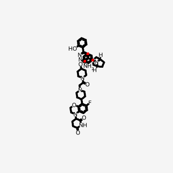 Nc1nnc(-c2ccccc2O)cc1N1C[C@H]2CC[C@@H](C1)N2c1cccc(OC2CCN(C(=O)CN3CCC(c4c(F)ccc5c4OCCN5C4CCC(=O)NC4=O)CC3)CC2)c1